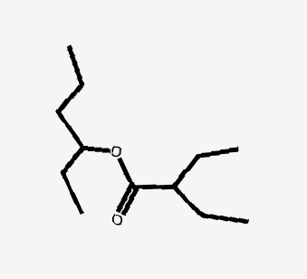 CCCC(CC)OC(=O)C(CC)CC